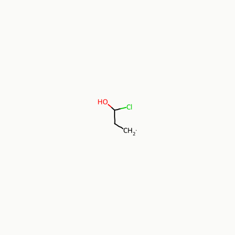 [CH2]CC(O)Cl